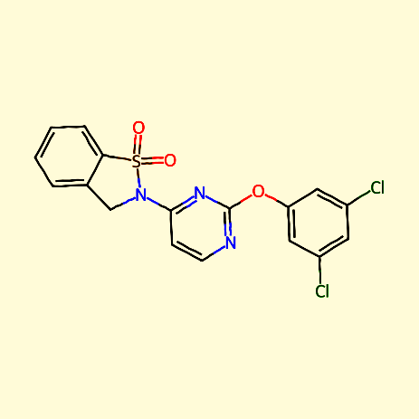 O=S1(=O)c2ccccc2CN1c1ccnc(Oc2cc(Cl)cc(Cl)c2)n1